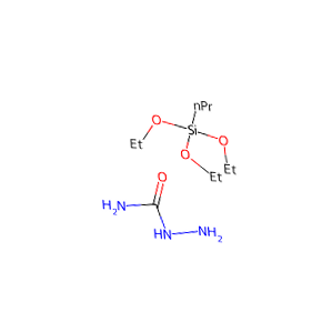 CCC[Si](OCC)(OCC)OCC.NNC(N)=O